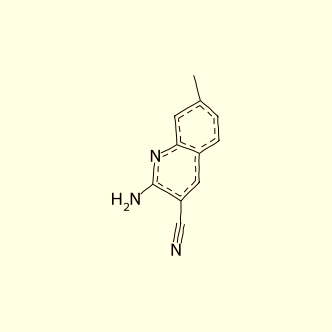 Cc1ccc2cc(C#N)c(N)nc2c1